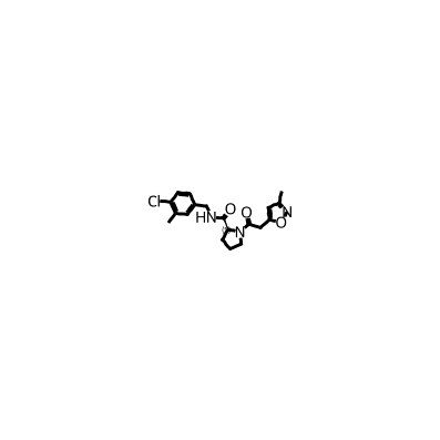 Cc1cc(CC(=O)N2CCC[C@H]2C(=O)NCc2ccc(Cl)c(C)c2)on1